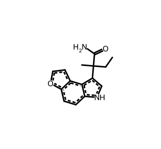 CCC(C)(C(N)=O)c1c[nH]c2ccc3occc3c12